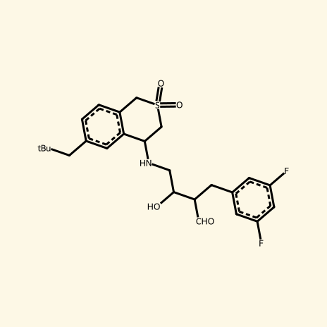 CC(C)(C)Cc1ccc2c(c1)C(NCC(O)C(C=O)Cc1cc(F)cc(F)c1)CS(=O)(=O)C2